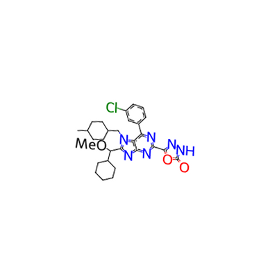 COC(c1nc2nc(-c3n[nH]c(=O)o3)nc(-c3cccc(Cl)c3)c2n1CC1CCC(C)CC1)C1CCCCC1